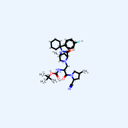 CC1CC(C#N)N(C(=O)C(CN2C[C@@H]3CC2C(=O)N3C2(c3ccc(F)cc3)CCCCC2)NC(=O)OC(C)(C)C)C1